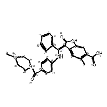 Cc1cc2c(cc1C(=O)O)NC(=O)/C2=C(/Nc1ccc(C(=O)N2CCN(C)CC2)cc1)c1ccccc1